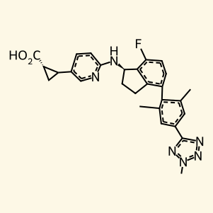 Cc1cc(-c2nnn(C)n2)cc(C)c1-c1ccc(F)c2c1CC[C@H]2Nc1ccc(C2C[C@@H]2C(=O)O)cn1